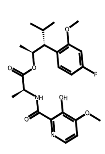 COc1cc(F)ccc1[C@@H](C(C)C)[C@H](C)OC(=O)[C@H](C)NC(=O)c1nccc(OC)c1O